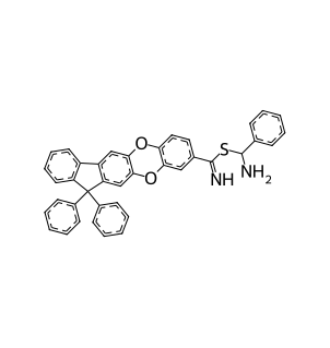 N=C(SC(N)c1ccccc1)c1ccc2c(c1)Oc1cc3c(cc1O2)-c1ccccc1C3(c1ccccc1)c1ccccc1